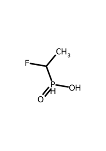 CC(F)[PH](=O)O